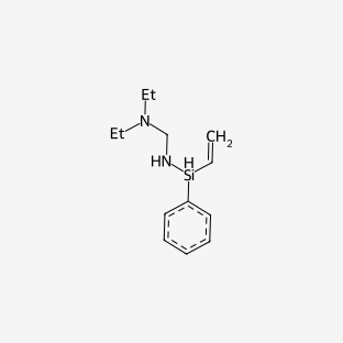 C=C[SiH](NCN(CC)CC)c1ccccc1